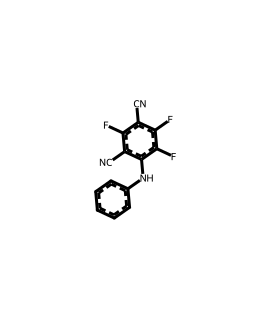 N#Cc1c(F)c(F)c(Nc2ccccc2)c(C#N)c1F